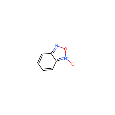 O[n+]1onc2ccccc21